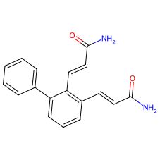 NC(=O)C=Cc1cccc(-c2ccccc2)c1C=CC(N)=O